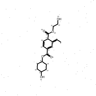 CC=C1C=C(C(=O)OC2CCC(O)CC2)C=CC1C(=O)OCCO